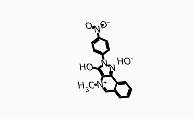 C[n+]1cc2ccccc2c2nn(-c3ccc([N+](=O)[O-])cc3)c(O)c21.[OH-]